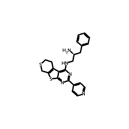 N[C@H](CNc1nc(-c2ccncc2)nc2sc3c(c12)CCSC3)Cc1ccccc1